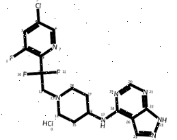 Cl.Fc1cc(Cl)cnc1C(F)(F)CN1CCC(Nc2ncnc3[nH]ncc23)CC1